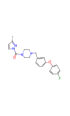 Cc1ccn(C(=O)N2CCN(Cc3cccc(Oc4ccc(F)cc4)c3)CC2)n1